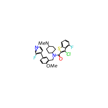 CN[C@H]1CC[C@@H](N(Cc2cc(-c3ccncc3F)ccc2OC)C(=O)c2sc3cccc(F)c3c2Cl)CC1